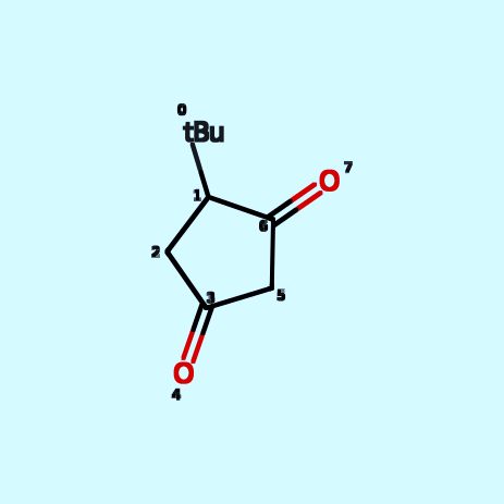 CC(C)(C)C1CC(=O)CC1=O